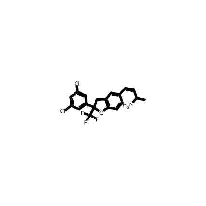 CC(N)/C=C\c1ccc2c(c1)CC(c1cc(Cl)cc(Cl)c1)(C(F)(F)F)O2